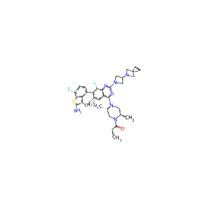 C=CC(=O)N1C[C@H](C)N(c2nc(N3CC(N4CC5(CC5)C4)C3)nc3c(F)c(-c4ccc(F)c5sc(N)c(C#N)c45)c(C(F)(F)F)cc23)C[C@H]1C